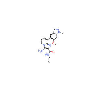 CCCNC(=O)c1nc2c(-c3cc4cnn(C)c4cc3OC)cccn2c1N